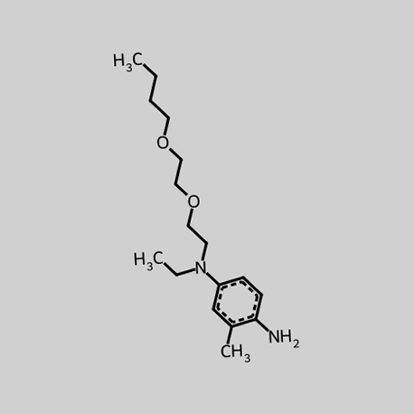 CCCCOCCOCCN(CC)c1ccc(N)c(C)c1